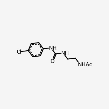 CC(=O)NCCNC(=O)Nc1ccc(Cl)cc1